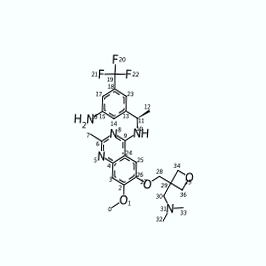 COc1cc2nc(C)nc(N[C@H](C)c3cc(N)cc(C(F)(F)F)c3)c2cc1OCC1(CN(C)C)COC1